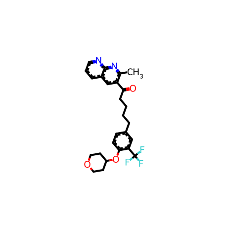 Cc1nc2ncccc2cc1C(=O)CCCCc1ccc(OC2CCOCC2)c(C(F)(F)F)c1